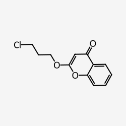 O=c1cc(OCCCCl)oc2ccccc12